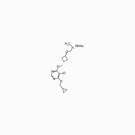 CC(=O)N[C@@H](C)CO[C@H]1C[C@H](COc2ncnc(OCC3CC3)c2Cl)C1